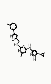 Cc1cccc(-c2cc(CNc3nc(C)cc(Nc4cc(C5CC5)[nH]n4)n3)on2)c1